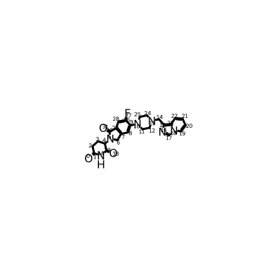 O=C1CCC(N2Cc3cc(N4CCN(Cc5ncn6ccccc56)CC4)c(F)cc3C2=O)C(=O)N1